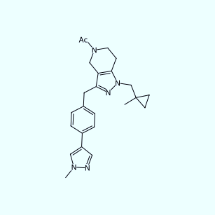 CC(=O)N1CCc2c(c(Cc3ccc(-c4cnn(C)c4)cc3)nn2CC2(C)CC2)C1